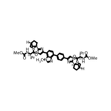 COC(=O)N[C@H](C(=O)N1C[C@@H]2CC[C@@]1(c1nc(-c3ccc(-c4ccc(-c5c[nH]c([C@@]67CC[C@@H](CN6C(=O)[C@@H](NC(=O)OC)C(C)C)C7)n5)c5c4ncn5C)cc3)c[nH]1)C2)C(C)C